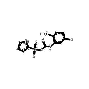 O=C(Nc1cc(Cl)ccc1C(=O)O)NS(=O)(=O)c1ccc[nH]1